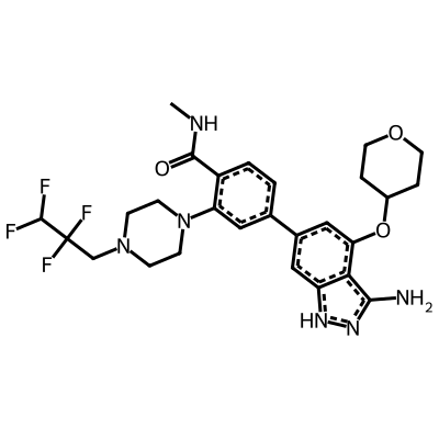 CNC(=O)c1ccc(-c2cc(OC3CCOCC3)c3c(N)n[nH]c3c2)cc1N1CCN(CC(F)(F)C(F)F)CC1